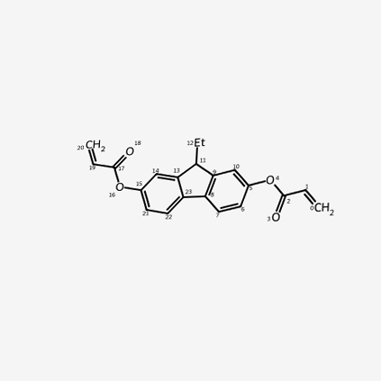 C=CC(=O)Oc1ccc2c(c1)C(CC)c1cc(OC(=O)C=C)ccc1-2